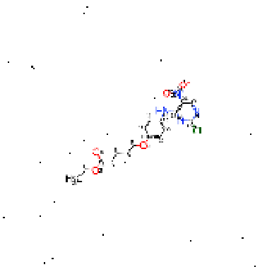 CCOC(=O)CCCCOc1ccc(Nc2nc(Cl)ncc2[N+](=O)[O-])cc1